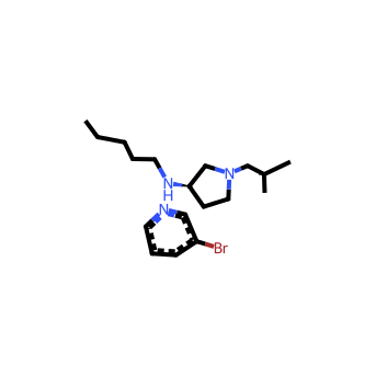 Brc1cccnc1.CCCCCN[C@@H]1CCN(C[C](C)C)C1